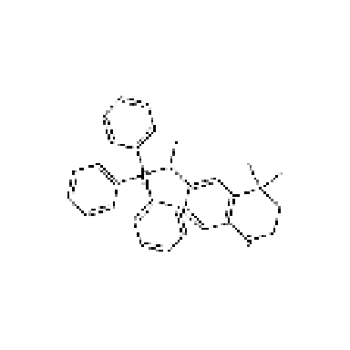 CC(c1ccc2c(c1)C(C)(C)CCS2)[PH](c1ccccc1)(c1ccccc1)c1ccccc1